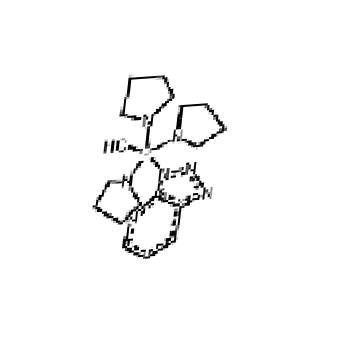 OP(N1CCCC1)(N1CCCC1)(N1CCCC1)n1nnc2cccnc21